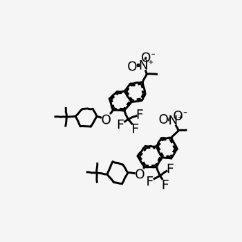 CC(c1ccc2c(C(F)(F)F)c(OC3CCC(C(C)(C)C)CC3)ccc2c1)[N+](=O)[O-].CC(c1ccc2c(C(F)(F)F)c(OC3CCC(C(C)(C)C)CC3)ccc2c1)[N+](=O)[O-]